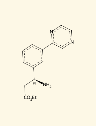 CCOC(=O)C[C@H](N)c1cccc(-c2cnccn2)c1